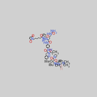 B=C(N[C@H](C(=O)N(C)[C@@H]([C@@H](C)CC)[C@@H](CC(=O)N1CCC[C@H]1C[C@@H](C)C(=O)N[C@@H](Cc1ccccc1)C(=O)Nc1ccc(NC(=O)[C@H](CCCNC(N)=O)NC(=O)[C@@H](NC(=O)CCCCCN2C(=O)C=CC2=O)C(C)C)cc1)OC)C(C)C)[C@H](C(C)C)N(C)C